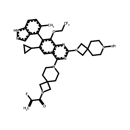 C=C(F)C(=O)N1CC2(CCN(c3nc(N4CC5(CCN(CCC)CC5)C4)nc4c(OCC(F)(F)F)c(-c5c(C)ccc6[nH]ncc56)c(C5CC5)cc34)CC2)C1